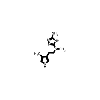 Cc1c[nH]cc1CCN(C)c1nnc(N)[nH]1